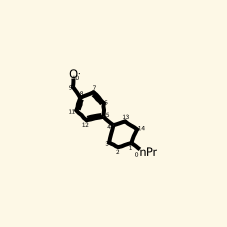 CCCC1CCC(c2ccc(C[O])cc2)CC1